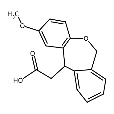 COc1ccc2c(c1)C(CC(=O)O)c1ccccc1CO2